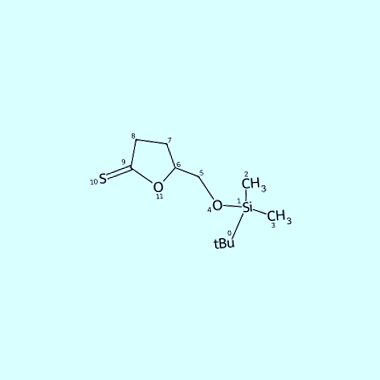 CC(C)(C)[Si](C)(C)OCC1CCC(=S)O1